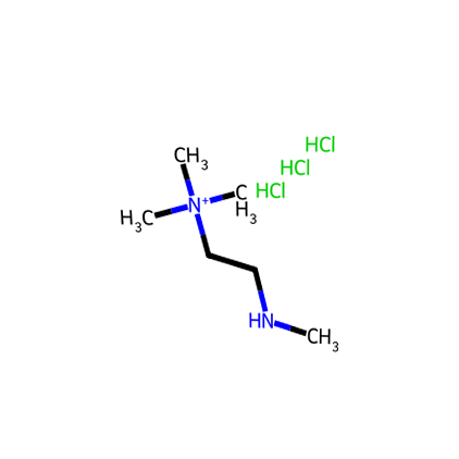 CNCC[N+](C)(C)C.Cl.Cl.Cl